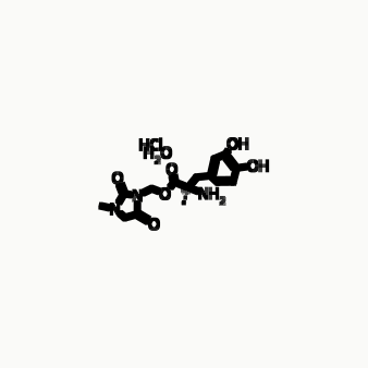 CN1CC(=O)N(COC(=O)[C@](C)(N)Cc2ccc(O)c(O)c2)C1=O.Cl.O